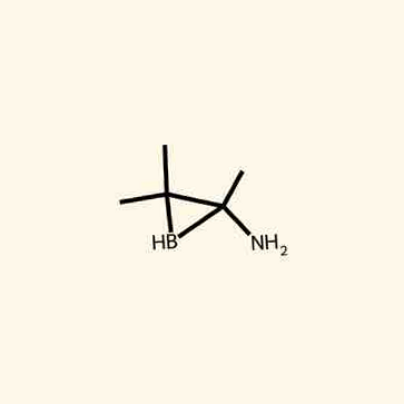 CC1(C)BC1(C)N